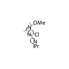 COCC(C)n1cc(C)c2nc(-c3ccc(C(C)C)nc3)c(Cl)cc21